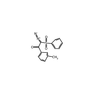 Cc1cccc(C(=O)C(=[N+]=[N-])S(=O)(=O)c2ccccc2)c1